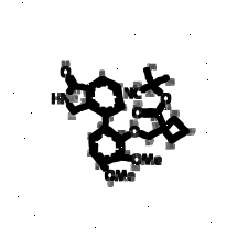 COc1ccc(-c2cccc3c2CNC3=O)c(OCC2(C(=O)OC(C)(C)C#N)CCC2)c1OC